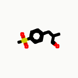 C[C](C=O)Cc1ccc(S(C)(=O)=O)cc1